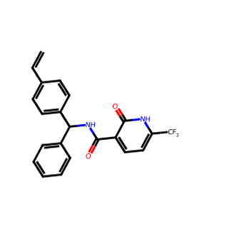 C=Cc1ccc(C(NC(=O)c2ccc(C(F)(F)F)[nH]c2=O)c2ccccc2)cc1